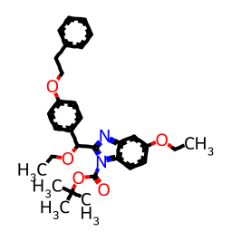 CCOc1ccc2c(c1)nc(C(OCC)c1ccc(OCCc3ccccc3)cc1)n2C(=O)OC(C)(C)C